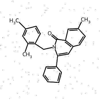 Cc1ccc(Cn2c(-c3ccccc3)cc3ccc(C)cc3c2=O)c(C)c1